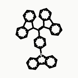 c1ccc2c(c1)C(=C(c1ccc(-n3c4ccccc4c4ccccc43)cc1)C1c3ccccc3-c3ccccc31)c1ccccc1-2